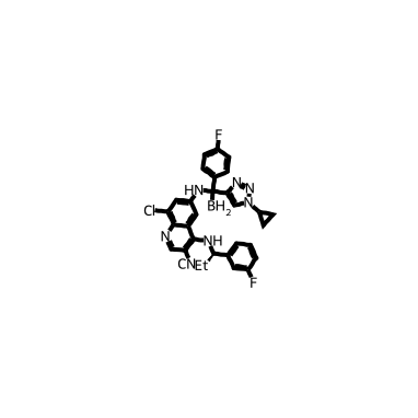 BC(Nc1cc(Cl)c2ncc(C#N)c(N[C@H](CC)c3cccc(F)c3)c2c1)(c1ccc(F)cc1)c1cn(C2CC2)nn1